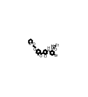 CCNC(=O)Nc1cc(Br)ccc1Nc1ccc(C(=O)c2ccc(OCCOC3CCCCO3)cc2C)c(Cl)c1